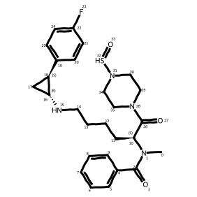 CN(C(=O)c1ccccc1)[C@@H](CCCCN[C@@H]1C[C@H]1c1ccc(F)cc1)C(=O)N1CCN([SH]=O)CC1